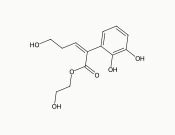 O=C(OCCO)C(=CCCO)c1cccc(O)c1O